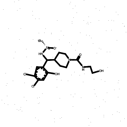 CC(C)(C)[S@+]([O-])NC(c1cc(Cl)c(Cl)cc1O)C1CCN(C(=O)NCCO)CC1